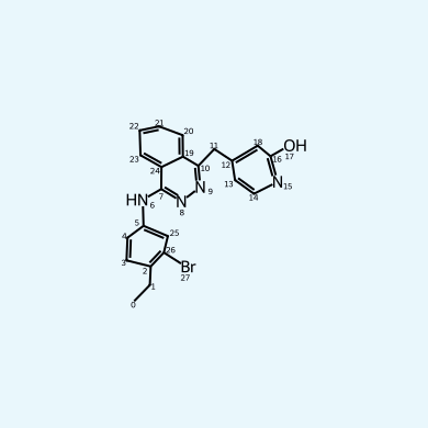 CCc1ccc(Nc2nnc(Cc3ccnc(O)c3)c3ccccc23)cc1Br